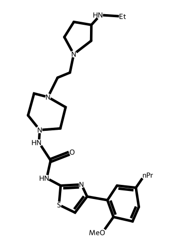 CCCc1ccc(OC)c(-c2csc(NC(=O)NN3CCN(CCN4CCC(NCC)C4)CC3)n2)c1